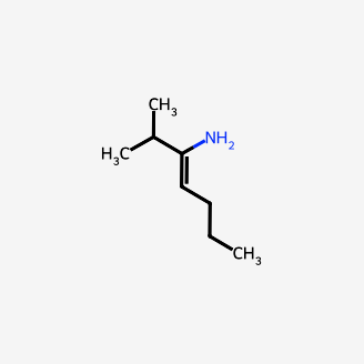 CCC/C=C(\N)C(C)C